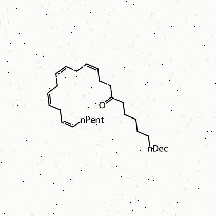 CCCCC/C=C\C/C=C\C/C=C\C/C=C\CCC(=O)CCCCCCCCCCCCCCC